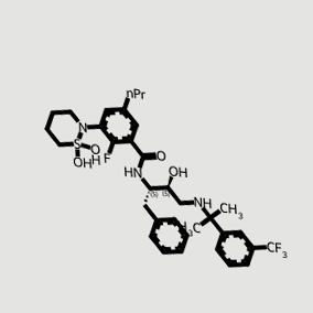 CCCc1cc(C(=O)N[C@@H](Cc2ccccc2)[C@@H](O)CNC(C)(C)c2cccc(C(F)(F)F)c2)c(F)c(N2CCCCS2(O)O)c1